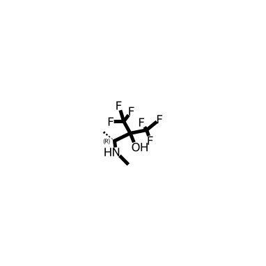 CN[C@H](C)C(O)(C(F)(F)F)C(F)(F)F